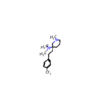 CN1CCC[C@](CCc2ccc(C(F)(F)F)cc2)(N(C)C)C1